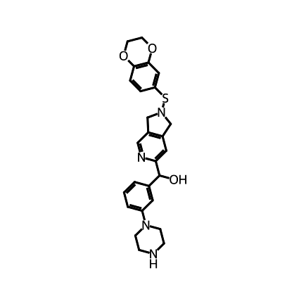 OC(c1cccc(N2CCNCC2)c1)c1cc2c(cn1)CN(Sc1ccc3c(c1)OCCO3)C2